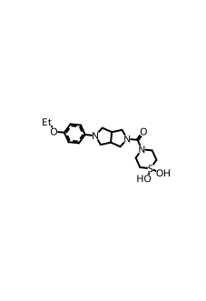 CCOc1ccc(N2CC3CN(C(=O)N4CCS(O)(O)CC4)CC3C2)cc1